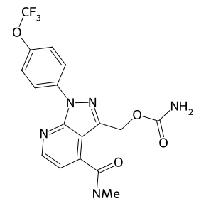 CNC(=O)c1ccnc2c1c(COC(N)=O)nn2-c1ccc(OC(F)(F)F)cc1